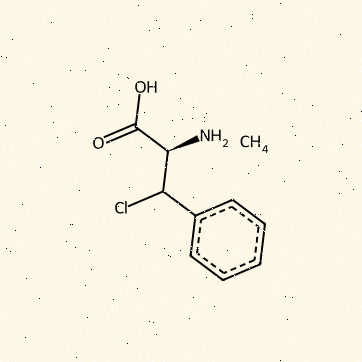 C.N[C@H](C(=O)O)C(Cl)c1ccccc1